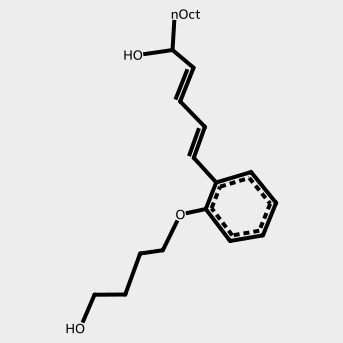 CCCCCCCCC(O)/C=C/C=C/c1ccccc1OCCCCO